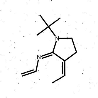 C=C/N=C1\C(=C/C)CCN1C(C)(C)C